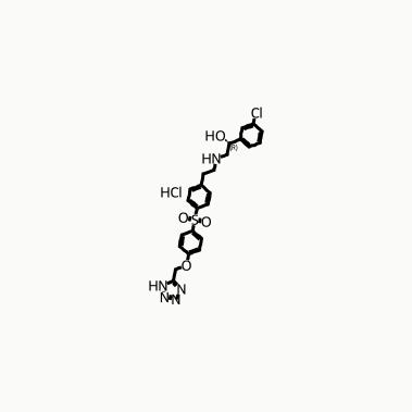 Cl.O=S(=O)(c1ccc(CCNC[C@H](O)c2cccc(Cl)c2)cc1)c1ccc(OCc2nnn[nH]2)cc1